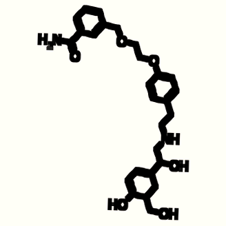 NC(=O)c1cccc(COCCOc2ccc(CCNCC(O)C3=CC=C(O)C(CO)C3)cc2)c1